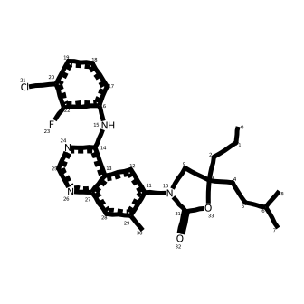 CCCC1(CCC(C)C)CN(c2cc3c(Nc4cccc(Cl)c4F)ncnc3cc2C)C(=O)O1